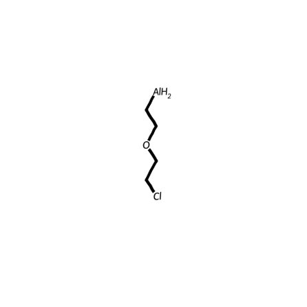 [AlH2][CH2]COCCCl